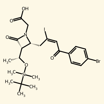 C[C@@H](O[Si](C)(C)C(C)(C)C)[C@@H]1C(=O)N(CC(=O)O)[C@@H]1C/C(I)=C\C(=O)c1ccc(Br)cc1